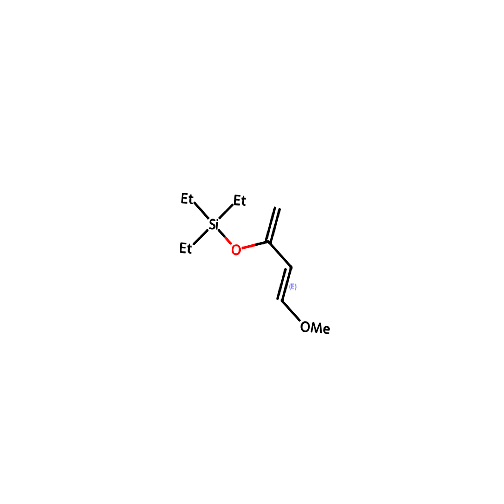 C=C(/C=C/OC)O[Si](CC)(CC)CC